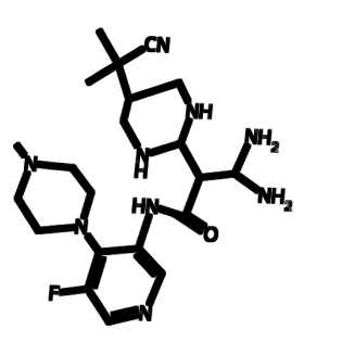 CN1CCN(c2c(F)cncc2NC(=O)C(C(N)N)C2NCC(C(C)(C)C#N)CN2)CC1